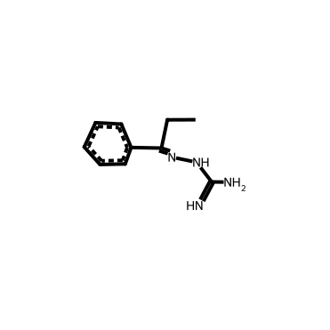 CC/C(=N\NC(=N)N)c1ccccc1